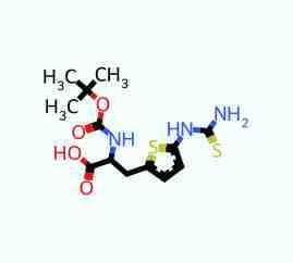 CC(C)(C)OC(=O)NC(Cc1ccc(NC(N)=S)s1)C(=O)O